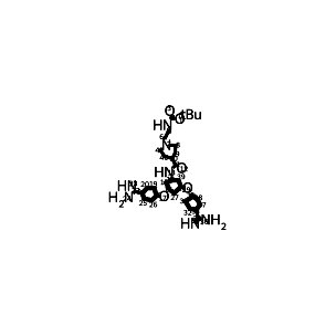 CC(C)(C)OC(=O)NCCN1CCC(C(=O)Nc2cc(Oc3ccc(C(=N)N)cc3)cc(Oc3ccc(C(=N)N)cc3)c2)CC1